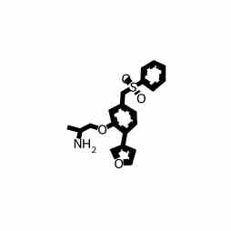 CC(N)COc1cc(CS(=O)(=O)c2ccccc2)ccc1-c1ccoc1